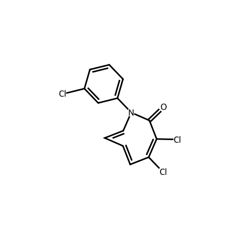 O=C1\C(Cl)=C(Cl)/C=C/C=C/N1c1cccc(Cl)c1